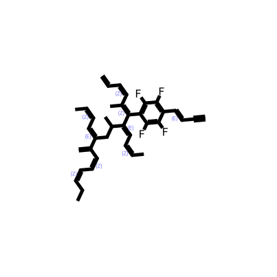 C#C/C=C/c1c(F)c(F)c(C(=C(C)\C=C/C=C)/C(=C/C=C\C)C(C)C/C(=C\C=C/C)C(=C)/C=C\C=C/CC)c(F)c1F